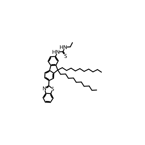 CCCCCCCCCCC1(CCCCCCCCCC)c2cc(NC(=S)NCC)ccc2-c2ccc(-c3nc4ccccc4s3)cc21